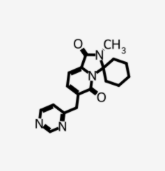 CN1C(=O)c2ccc(Cc3ccncn3)c(=O)n2C12CCCCC2